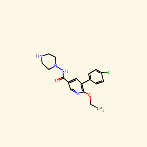 O=C(NN1CCNCC1)c1cnc(OCC(F)(F)F)c(-c2ccc(Cl)cc2)c1